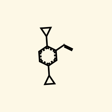 C=[C]c1cc(C2CC2)ccc1C1CC1